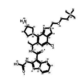 CC(NC(=O)c1c(NC(=O)O)nn2cccnc12)c1cc(Cl)c2cn(COCC[Si](C)(C)C)nc2c1N1CC[C@H](N)C1